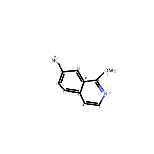 COc1nccc2ccc(C#N)cc12